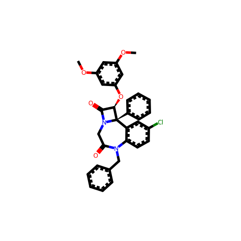 COc1cc(OC)cc(O[C@@H]2C(=O)N3CC(=O)N(Cc4ccccc4)c4ccc(Cl)cc4[C@@]23c2ccccc2)c1